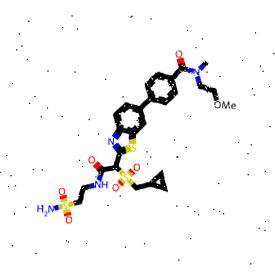 COCCN(C)C(=O)c1ccc(-c2ccc3nc(C(C(=O)NCCS(N)(=O)=O)S(=O)(=O)CC4CC4)sc3c2)cc1